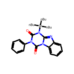 CCC[CH2][Sn]([CH2]CCC)([CH2]CCC)[n]1c(=O)n(-c2ccccc2)c(=O)n2c3ccccc3nc12